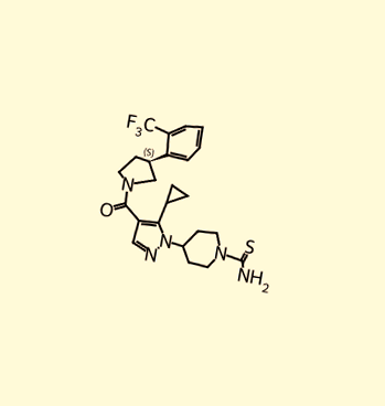 NC(=S)N1CCC(n2ncc(C(=O)N3CC[C@@H](c4ccccc4C(F)(F)F)C3)c2C2CC2)CC1